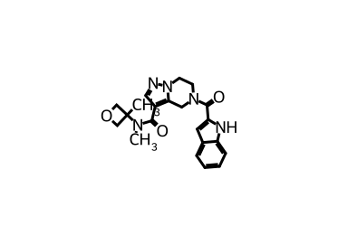 CN(C(=O)c1cnn2c1CN(C(=O)c1cc3ccccc3[nH]1)CC2)C1(C)COC1